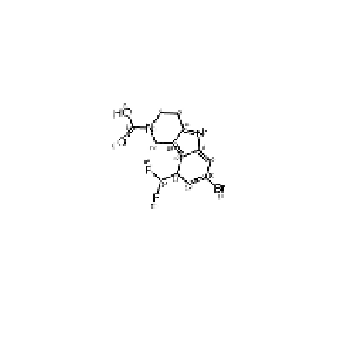 O=C(O)N1CCC2=NC3=CC(Br)=CC(C(F)F)C3=C2C1